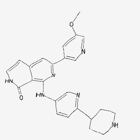 COc1cncc(-c2cc3cc[nH]c(=O)c3c(Nc3ccc(C4CCNCC4)nc3)n2)c1